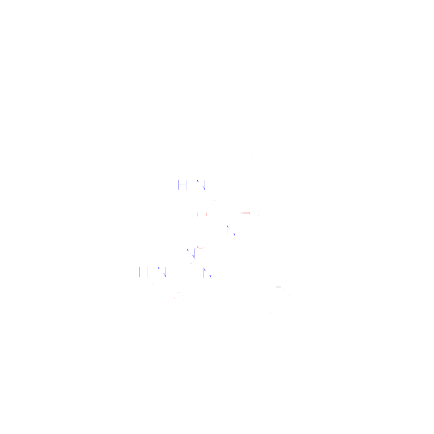 CN(CC(c1ccc2ccccc2c1)c1nc(C(N)=O)no1)C(=O)C(C(N)=O)c1ccc2ccccc2c1